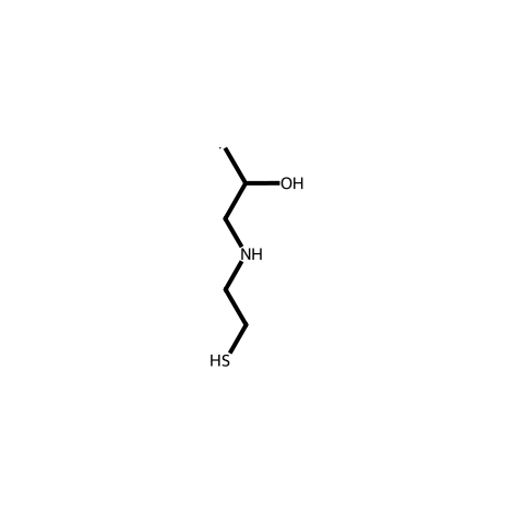 [CH2]C(O)CNCCS